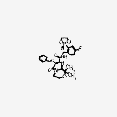 CC1(C)OCCn2c1nc(C(=O)NCc1ccc(F)cc1P1(=O)OCCO1)c(OCc1ccccc1)c2=O